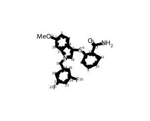 COc1ccc2c(Sc3ccccc3C(N)=O)cn(Cc3cc(F)cc(F)c3)c2c1